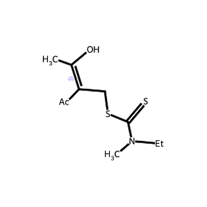 CCN(C)C(=S)SC/C(C(C)=O)=C(/C)O